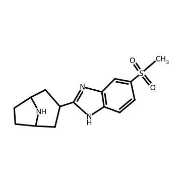 CS(=O)(=O)c1ccc2[nH]c(C3CC4CCC(C3)N4)nc2c1